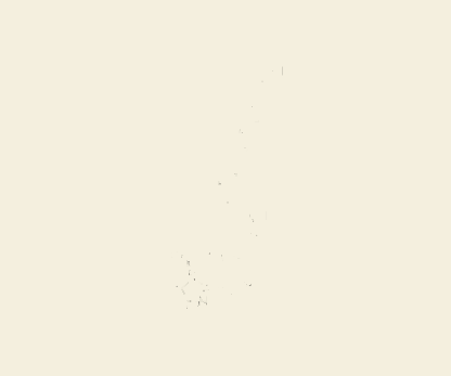 CCCCCCCCCCCCCCCC(C)n1ccnc1C(CC)CCCCC